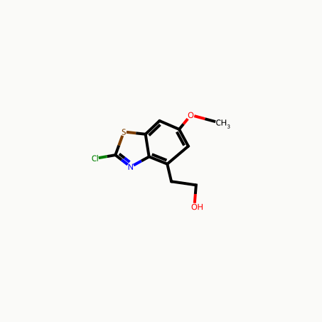 COc1cc(CCO)c2nc(Cl)sc2c1